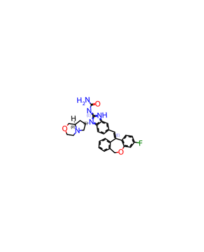 NC(=O)/N=c1\[nH]c2cc(/C=C3\c4ccccc4COc4cc(F)ccc43)ccc2n1[C@H]1C[C@@H]2COCCN2C1